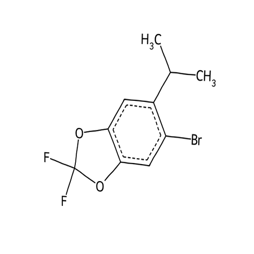 CC(C)c1cc2c(cc1Br)OC(F)(F)O2